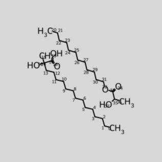 CCCCCCCCCCCCCCC(C)(O)C(=O)O.CCCCCCCCCCCCOC(=O)C(C)O